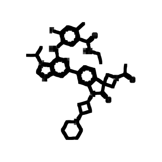 CCNC(=O)c1cc(Nc2nc(-c3ccc4c(c3)N([C@H]3C[C@@H](N5CCCCC5)C3)C(=O)C43CN(C(C)=O)C3)cc3ncn(C(C)C)c23)c(F)cc1C